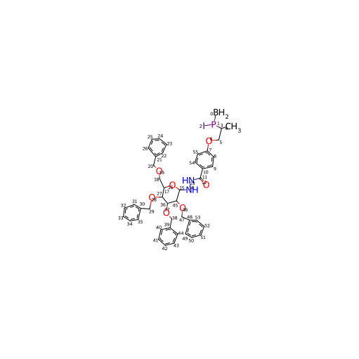 BP(I)C(C)COc1ccc(C(=O)NNC2OC(COCc3ccccc3)C(OCc3ccccc3)C(OCc3ccccc3)C2OCc2ccccc2)cc1